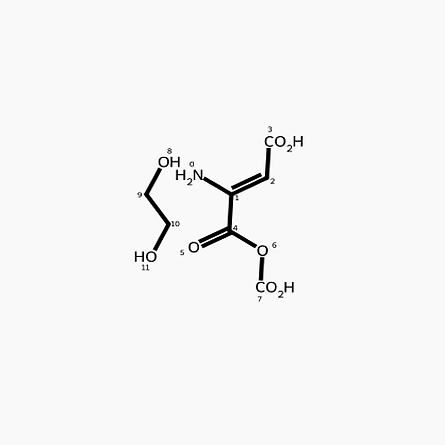 NC(=CC(=O)O)C(=O)OC(=O)O.OCCO